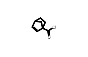 O=C(Cl)C12C=CC(CC1)C2